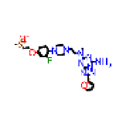 CN(CCN1CCN(c2ccc(OCC[S@@+](C)[O-])cc2F)CC1)c1nc(N)n2nc(-c3ccco3)nc2n1